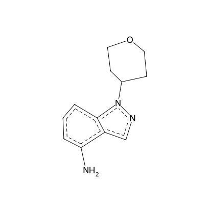 Nc1cccc2c1cnn2C1CCOCC1